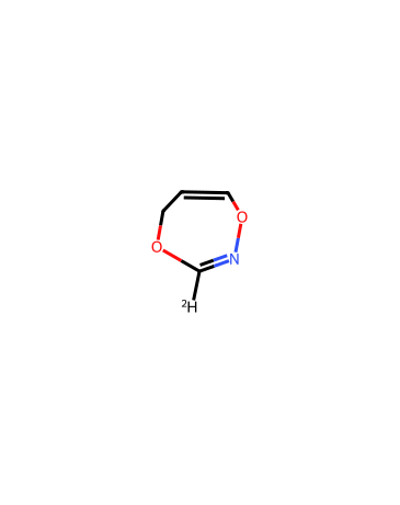 [2H]C1=NOC=CCO1